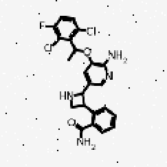 CC(Oc1cc(C2NCC2c2ccccc2C(N)=O)cnc1N)c1c(Cl)ccc(F)c1Cl